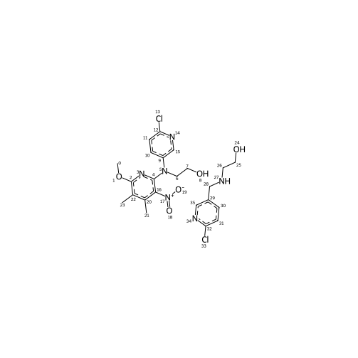 COc1nc(N(CCO)c2ccc(Cl)nc2)c([N+](=O)[O-])c(C)c1C.OCCNCc1ccc(Cl)nc1